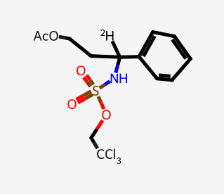 [2H]C(CCOC(C)=O)(NS(=O)(=O)OCC(Cl)(Cl)Cl)c1ccccc1